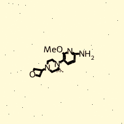 COc1nc(N)ccc1N1CCN(C2COC2)C[C@H]1C